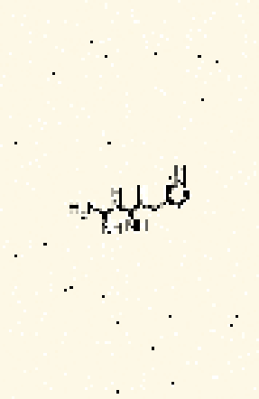 N=C(N)NC(=N)NCc1cc[nH]c1